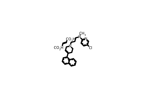 CN(CCCN1CC=C(c2cccc3ccccc23)CC1)c1ccc(Cl)cn1.O=C(O)C=CC(=O)O